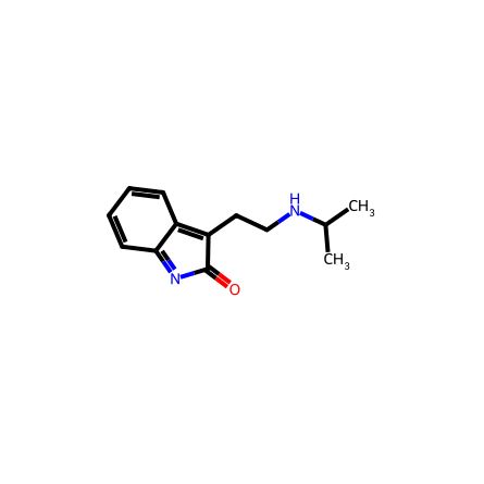 CC(C)NCCC1=c2ccccc2=NC1=O